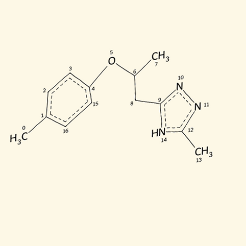 Cc1ccc(OC(C)Cc2nnc(C)[nH]2)cc1